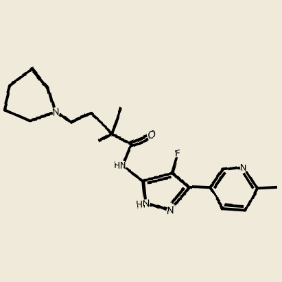 Cc1ccc(-c2n[nH]c(NC(=O)C(C)(C)CCN3CCCCC3)c2F)cn1